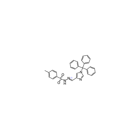 Cc1ccc(S(=O)(=O)N/N=C/c2cn(C(c3ccccc3)(c3ccccc3)c3ccccc3)cn2)cc1